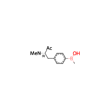 CN[C@@H](Cc1ccc(B(C)O)cc1)C(C)=O